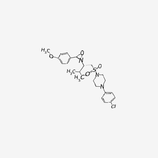 COc1ccc(C2ON2[C@H](CS(=O)(=O)N2CCN(c3ccc(Cl)cc3)CC2)C(C)C)cc1